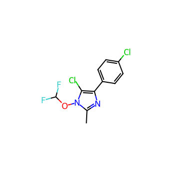 Cc1nc(-c2ccc(Cl)cc2)c(Cl)n1OC(F)F